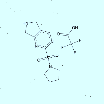 O=C(O)C(F)(F)F.O=S(=O)(c1ncc2c(n1)CNC2)N1CCCC1